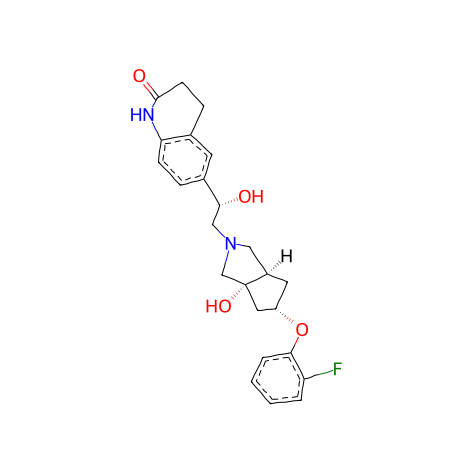 O=C1CCc2cc([C@H](O)CN3C[C@H]4C[C@H](Oc5ccccc5F)C[C@@]4(O)C3)ccc2N1